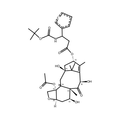 CC(=O)O[C@@]12CO[C@@H]1C[C@H](O)[C@@]1(C)C(=O)[C@H](O)C3=C(C)[C@@H](OC(=O)CC(NC(=O)OC(C)(C)C)c4ccccc4)C[C@@](O)(C[C@H]21)C3(C)C